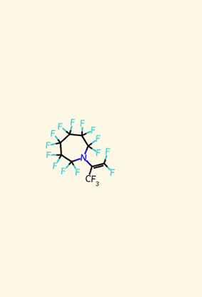 FC(F)=C(N1C(F)(F)C(F)(F)C(F)(F)C(F)(F)C(F)(F)C1(F)F)C(F)(F)F